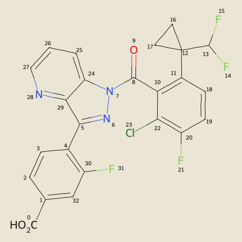 O=C(O)c1ccc(-c2nn(C(=O)c3c(C4(C(F)F)CC4)ccc(F)c3Cl)c3cccnc23)c(F)c1